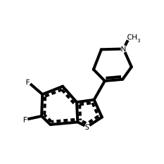 CN1CC=C(c2csc3cc(F)c(F)cc23)CC1